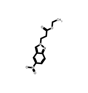 CCOC(=O)CCn1cc2cc([N+](=O)[O-])ccc2n1